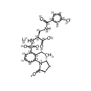 CCc1c(N2CCCC2=O)cccc1S(=O)(=O)N[C@@H](CNC(=O)c1ccc(Cl)s1)C(=O)[O-].[Li+]